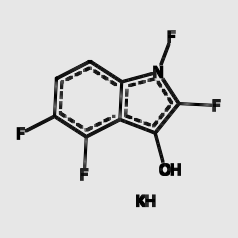 Oc1c(F)n(F)c2ccc(F)c(F)c12.[KH]